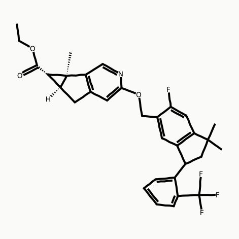 CCOC(=O)[C@H]1[C@@H]2Cc3cc(OCc4cc5c(cc4F)C(C)(C)CC5c4ccccc4C(F)(F)F)ncc3[C@@]21C